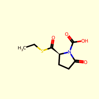 CCSC(=O)[C@@H]1CCC(=O)N1C(=O)O